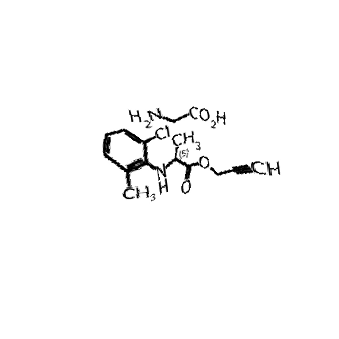 C#CCOC(=O)[C@H](C)Nc1c(C)cccc1Cl.NCC(=O)O